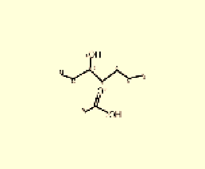 CC(=O)O.CCCCC(O)CC